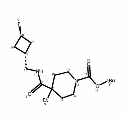 CCC1(C(=O)NC[C@H]2C[C@H](F)C2)CCN(C(=O)OC(C)(C)C)CC1